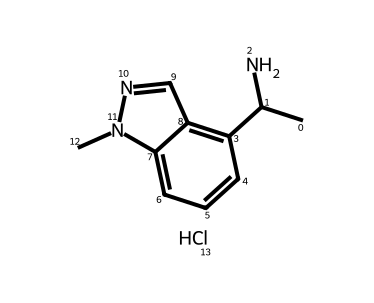 CC(N)c1cccc2c1cnn2C.Cl